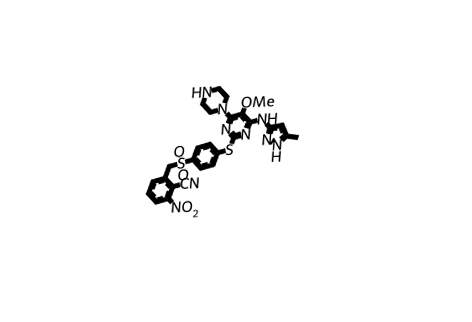 COc1c(Nc2cc(C)[nH]n2)nc(Sc2ccc(S(=O)(=O)Cc3cccc([N+](=O)[O-])c3C#N)cc2)nc1N1CCNCC1